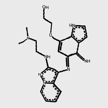 CN(C)CCNc1nn2ccccc2c1N=C1C=C(OCCO)c2[nH]ccc2C1=N